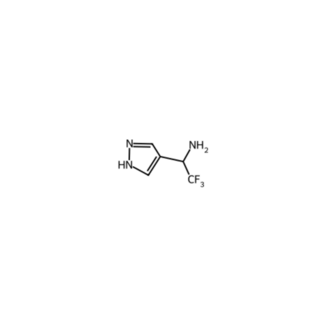 NC(c1cn[nH]c1)C(F)(F)F